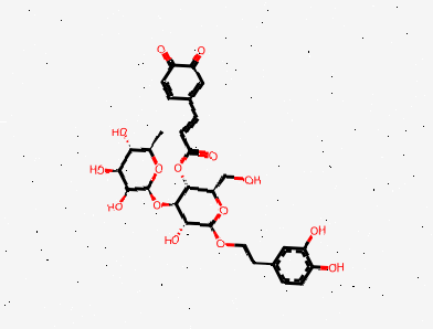 C[C@H]1O[C@@H](O[C@@H]2[C@@H](O)[C@H](OCCc3ccc(O)c(O)c3)O[C@H](CO)[C@H]2OC(=O)/C=C/C2=CC(=O)C(=O)C=C2)[C@@H](O)[C@@H](O)[C@@H]1O